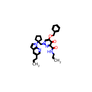 C=CCNC(=O)c1nn(CC2(n3ccc4cc(CC=C)cnc43)CCCC2)cc(OCc2ccccc2)c1=O